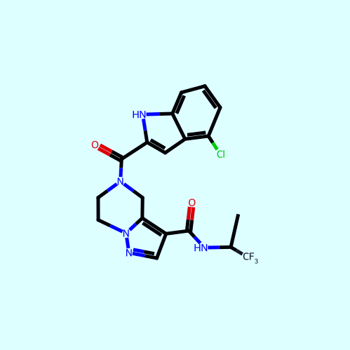 CC(NC(=O)c1cnn2c1CN(C(=O)c1cc3c(Cl)cccc3[nH]1)CC2)C(F)(F)F